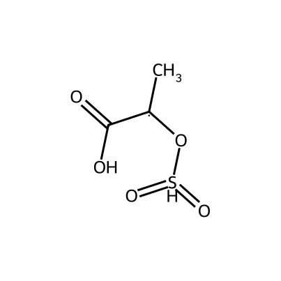 C[C](O[SH](=O)=O)C(=O)O